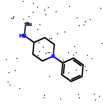 CC(C)(C)NC1CCN(c2ccccc2)CC1